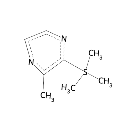 Cc1nccnc1S(C)(C)C